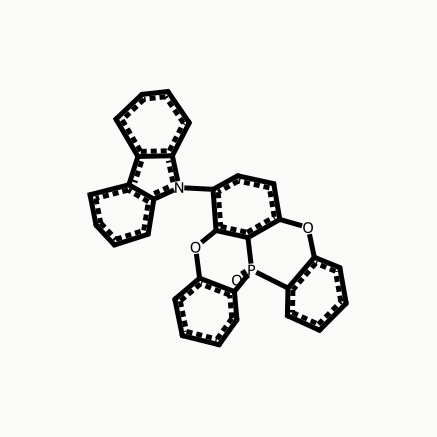 O=P12c3ccccc3Oc3ccc(-n4c5ccccc5c5ccccc54)c(c31)Oc1ccccc12